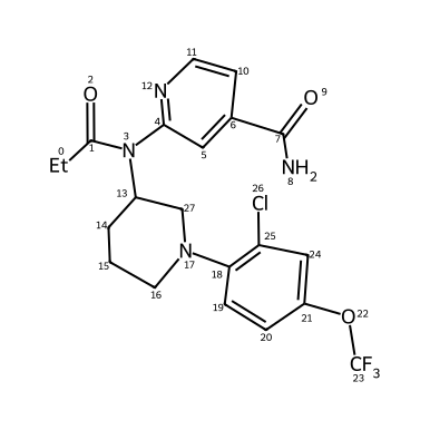 CCC(=O)N(c1cc(C(N)=O)ccn1)C1CCCN(c2ccc(OC(F)(F)F)cc2Cl)C1